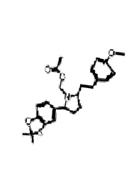 COc1ccc(CCC2CCC(c3ccc4c(c3)SC(C)(C)O4)N2COC(C)=O)cc1